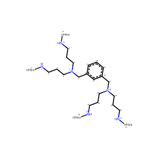 CCCCCCNCCCN(CCCNCCCCCC)Cc1cccc(CN(CCCNCCCCCC)CCCNCCCCCC)c1